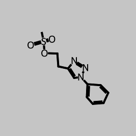 CS(=O)(=O)OCCc1cn(-c2ccccc2)nn1